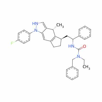 CCN(Cc1ccccc1)C(=O)NC(C[C@H]1CCC2=C1[C@@H](C)C1=CNN(c3ccc(F)cc3)C1=C2)c1ccccc1